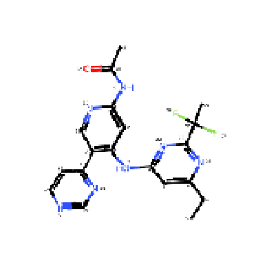 CCc1cc(Nc2cc(NC(C)=O)ncc2-c2ccncn2)nc(C(C)(F)F)n1